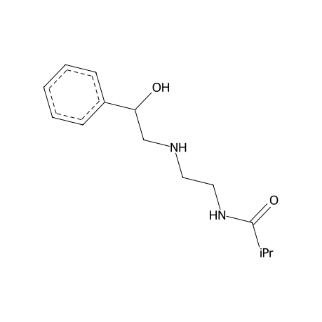 CC(C)C(=O)NCCNCC(O)c1ccccc1